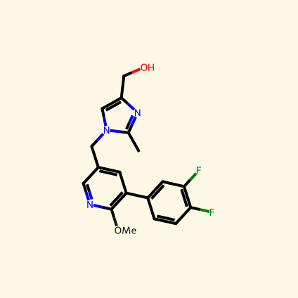 COc1ncc(Cn2cc(CO)nc2C)cc1-c1ccc(F)c(F)c1